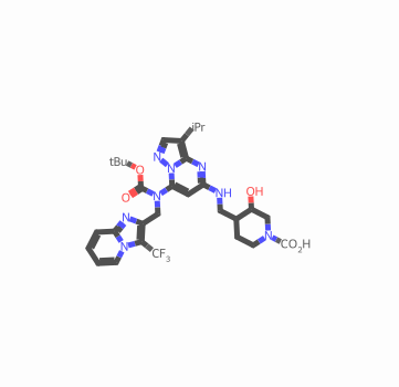 CC(C)c1cnn2c(N(Cc3nc4ccccn4c3C(F)(F)F)C(=O)OC(C)(C)C)cc(NCC3CCN(C(=O)O)CC3O)nc12